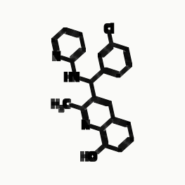 Cc1nc2c(O)cccc2cc1C(Nc1ccccn1)c1cccc(Cl)c1